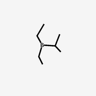 CCB(CC)C(C)C